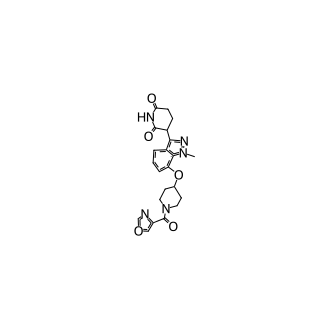 Cn1nc(C2CCC(=O)NC2=O)c2cccc(OC3CCN(C(=O)c4cocn4)CC3)c21